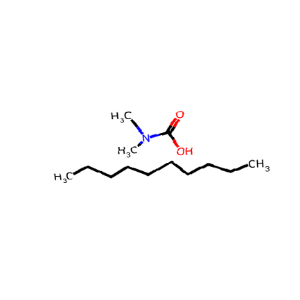 CCCCCCCCCC.CN(C)C(=O)O